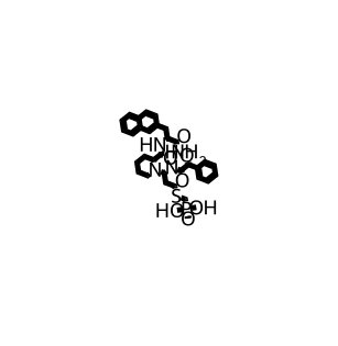 NC(=O)C(Cc1ccc2ccccc2c1)NC(=O)C1CCCCN1C(CCSCP(=O)(O)O)NC(=O)C(=O)c1ccccc1